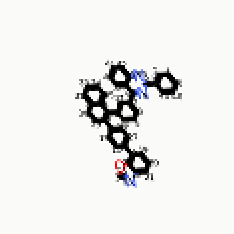 c1ccc(-c2nc(-c3cccc(-c4c(-c5ccc(-c6cccc7ncoc67)cc5)ccc5ccccc45)c3)c3ccccc3n2)cc1